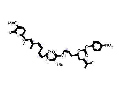 COC1=CCC([C@@H](C)/C=C(C)/C=C\C=C/C(=O)N[C@H](C(=O)N/C=C\CC(C/C=C(\C)Cl)OC(=O)Oc2ccc([N+](=O)[O-])cc2)C(C)(C)C)OC1=O